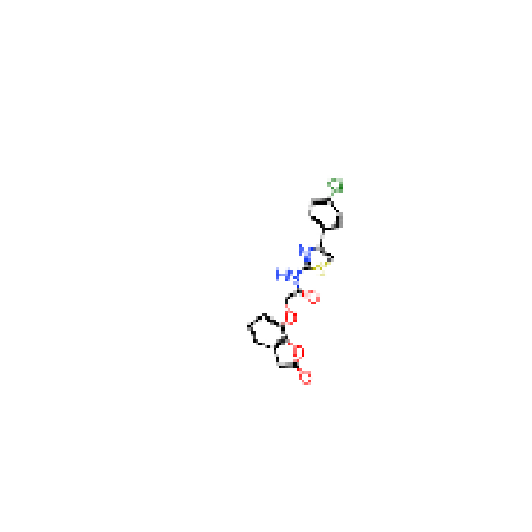 O=C(COc1cccc2c1OC(=O)C2)Nc1nc(-c2ccc(Cl)cc2)cs1